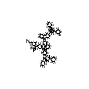 N#Cc1ccc(-c2ccc(-n3c4ccccc4c4cc(-c5nc(-c6ccccc6)nc(-c6ccccc6)n5)ccc43)c(-c3cc(-n4c5ccccc5c5cc(-c6nc(-c7ccccc7)nc(-c7ccccc7)n6)ccc54)ccc3C#N)c2)c(C(F)(F)F)c1